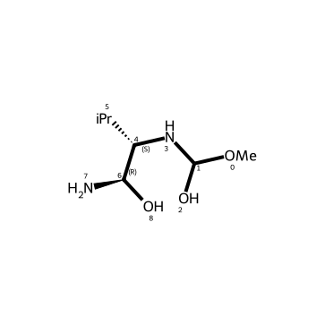 COC(O)N[C@@H](C(C)C)[C@H](N)O